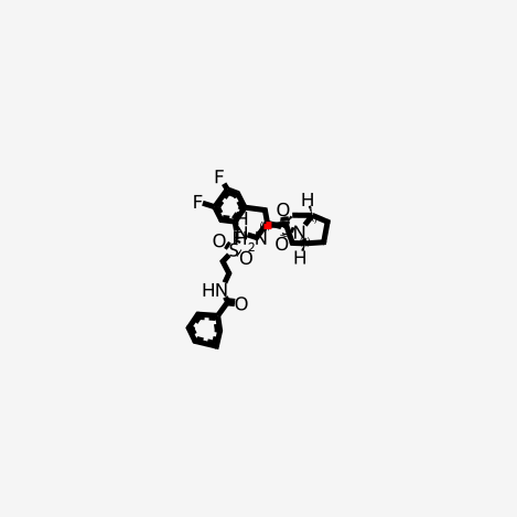 N[C@H](Cc1cc(F)c(F)cc1F)[C@@H]1C[C@H]2CC[C@@H](C1)N2S(=O)(=O)CCNS(=O)(=O)CCNC(=O)c1ccccc1